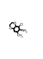 Cc1cc2c(c(Cl)c1N)OCCO2